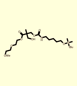 COCCOCCOC(=O)C(C)(CO)COC(=O)NCCCCCO[Si](C)(C)C(C)(C)C